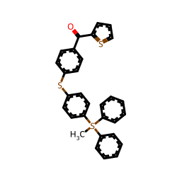 CS(c1ccccc1)(c1ccccc1)c1ccc(Sc2ccc(C(=O)c3cccs3)cc2)cc1